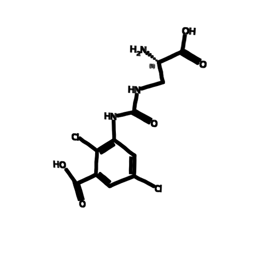 N[C@@H](CNC(=O)Nc1cc(Cl)cc(C(=O)O)c1Cl)C(=O)O